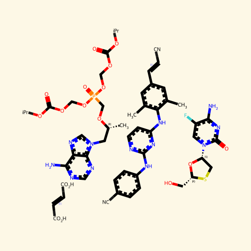 CC(C)OC(=O)OCOP(=O)(CO[C@H](C)Cn1cnc2c(N)ncnc21)OCOC(=O)OC(C)C.Cc1cc(/C=C/C#N)cc(C)c1Nc1ccnc(Nc2ccc(C#N)cc2)n1.Nc1nc(=O)n([C@@H]2CS[C@H](CO)O2)cc1F.O=C(O)/C=C/C(=O)O